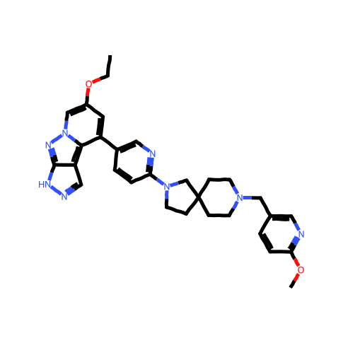 CCOc1cc(-c2ccc(N3CCC4(CCN(Cc5ccc(OC)nc5)CC4)C3)nc2)c2c3cn[nH]c3nn2c1